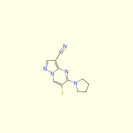 N#Cc1cnn2cc(F)c(N3CCCC3)nc12